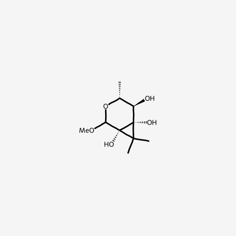 COC1O[C@H](C)[C@@H](O)[C@@]2(O)C(C)(C)[C@@]12O